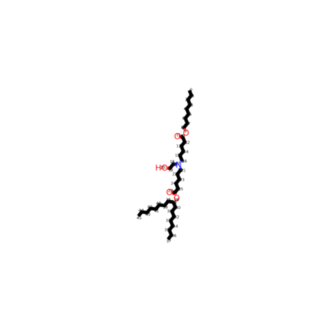 CCCCCCCCCOC(=O)CCCCCN(CCO)CCCCCC(=O)OC(CCCCCCCC)CCCCCCCC